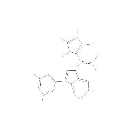 CC1=C(C)C(C)[C]([Zr]([CH]2C=C(c3cc(Cl)cc(Cl)c3)c3ccccc32)=[Si](C)C)=C1C.Cl.Cl